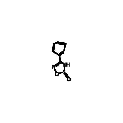 O=S1NC(c2cc[c]cc2)=NO1